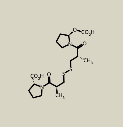 C[C@H](CSSC[C@@H](C)C(=O)N1CCC[C@H]1OC(=O)O)C(=O)N1CCC[C@@H]1C(=O)O